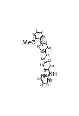 COc1ccccc1N1CCN(CC[C@H]2CC[C@H](Nc3ncccn3)CC2)CC1